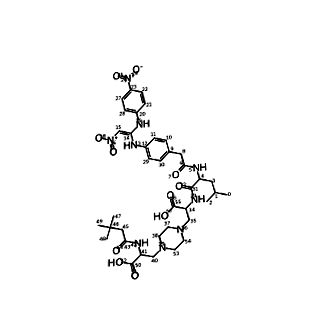 CC(C)CC(NC(=O)Cc1ccc(NC(=C[N+](=O)[O-])Nc2ccc([N+](=O)[O-])cc2)cc1)C(=O)NC(CN1CCN(CC(NC(=O)CC(C)(C)C)C(=O)O)CC1)C(=O)O